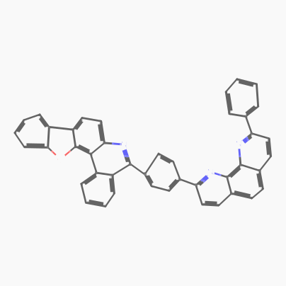 c1ccc(-c2ccc3ccc4ccc(-c5ccc(-c6nc7ccc8c9ccccc9oc8c7c7ccccc67)cc5)nc4c3n2)cc1